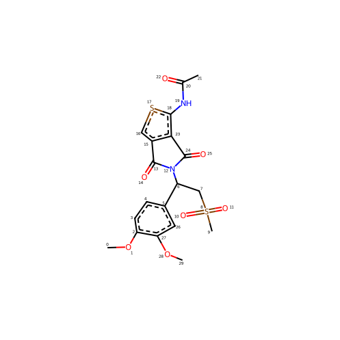 COc1ccc(C(CS(C)(=O)=O)N2C(=O)c3csc(NC(C)=O)c3C2=O)cc1OC